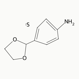 Nc1ccc(C2OCCO2)cc1.[S]